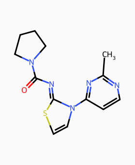 Cc1nccc(-n2ccsc2=NC(=O)N2CCCC2)n1